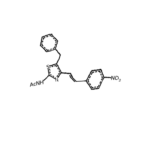 CC(=O)Nc1nc(C=Cc2ccc([N+](=O)[O-])cc2)c(Cc2ccccc2)s1